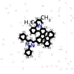 Cc1cnc(-c2ccccc2-c2cccc3c2-c2cc(-c4cc(-c5ccccc5)nc(-c5ccccc5)n4)ccc2C32c3ccccc3-c3ccccc32)c(C)c1